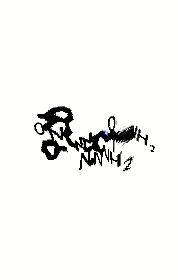 Cc1ccccc1-n1c(Cn2nc(/C=C/C(N)=O)c3c(N)ncnc32)cc2cccc(C)c2c1=O